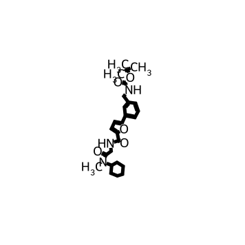 CN(C(=O)CNC(=O)c1ccc(-c2cccc(CNC(=O)OC(C)(C)C)c2)o1)C1CCCCC1